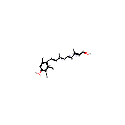 COc1cc(C)c(/C=C/C(C)=C/C=C/C(C)=C/[C]=O)c(C)c1C